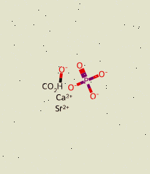 O=C([O-])O.O=P([O-])([O-])[O-].[Ca+2].[Sr+2]